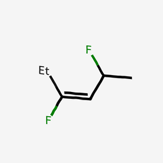 CC/C(F)=C\C(C)F